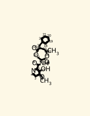 COc1ccnc(C(=O)NC2COC(=O)[C@@H](Cc3ccccc3)[CH][C@H](C)OC2=O)c1O